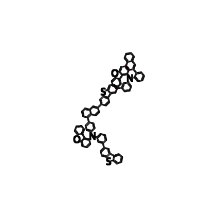 c1cc(-c2ccc3sc4ccccc4c3c2)cc(N(c2ccc(-c3cccc4cc(-c5ccc6c(c5)sc5ccc(-c7cccc(N(c8ccccc8-c8ccc9ccccc9c8)c8cccc9oc%10ccccc%10c89)c7)cc56)ccc34)cc2)c2cccc3oc4ccccc4c23)c1